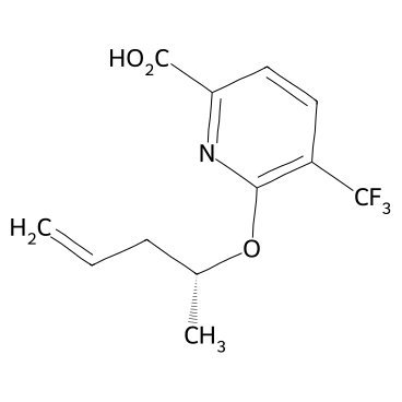 C=CC[C@@H](C)Oc1nc(C(=O)O)ccc1C(F)(F)F